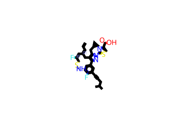 C=C/C=C(\C=C(\F)CSN)Cc1c(-c2ccc(F)c(C#CCC(C)C)c2)nn(-c2nc(C(=O)O)cs2)c1CC1CC1